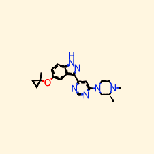 C[C@H]1CN(c2cc(-c3n[nH]c4ccc(OC5(C)CC5)cc34)ncn2)CCN1C